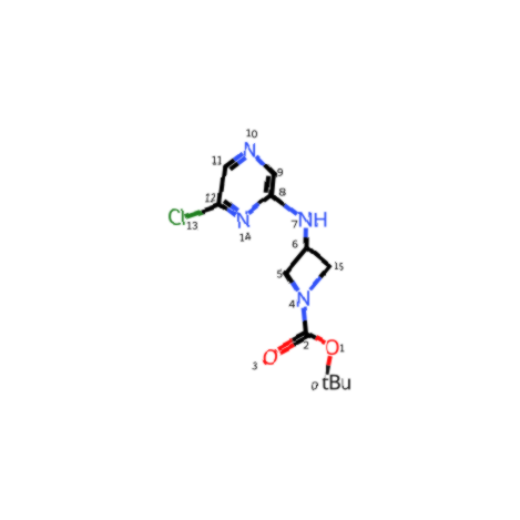 CC(C)(C)OC(=O)N1CC(Nc2cncc(Cl)n2)C1